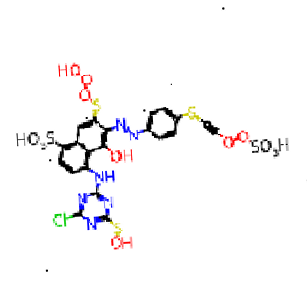 O=S(=O)(O)OOC#CSc1ccc(N=Nc2c(SOOO)cc3c(S(=O)(=O)O)ccc(Nc4nc(Cl)nc(SO)n4)c3c2O)cc1